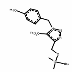 CCOC(=O)c1c(CO[Si](C)(C)C(C)(C)C)nnn1Cc1ccc(OC)cc1